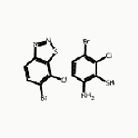 Clc1c(Br)ccc2nnsc12.Nc1ccc(Br)c(Cl)c1S